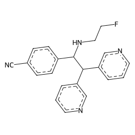 N#Cc1ccc(C(NCCF)C(c2cccnc2)c2cccnc2)cc1